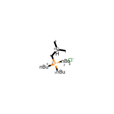 CCCC[P+](CCCC)(CCCC)C[SiH](C)C.[Cl-]